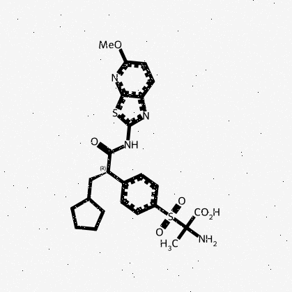 COc1ccc2nc(NC(=O)[C@H](CC3CCCC3)c3ccc(S(=O)(=O)C(C)(N)C(=O)O)cc3)sc2n1